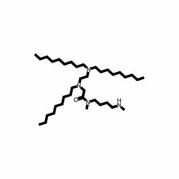 CCCCCCCCCN(CCCCCCCCC)CCN(CCCCCCCCC)CC(=O)N(C)CCCCNC